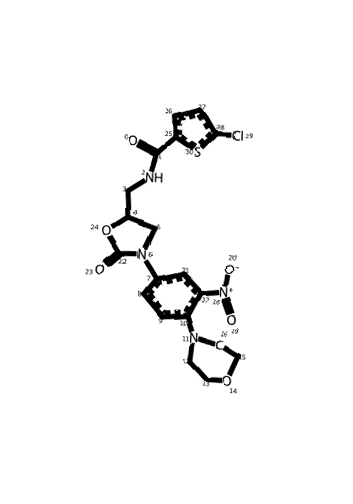 O=C(NCC1CN(c2ccc(N3CCOCC3)c([N+](=O)[O-])c2)C(=O)O1)c1ccc(Cl)s1